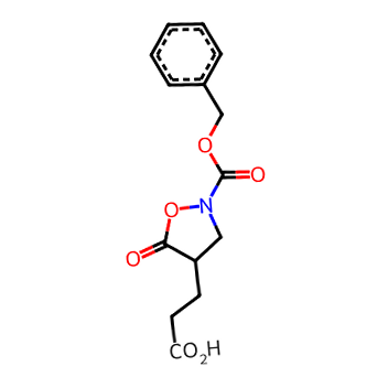 O=C(O)CCC1CN(C(=O)OCc2ccccc2)OC1=O